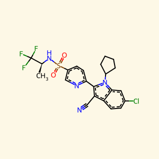 C[C@H](NS(=O)(=O)c1ccc(-c2c(C#N)c3ccc(Cl)cc3n2C2CCCC2)nc1)C(F)(F)F